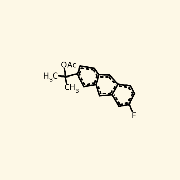 CC(=O)OC(C)(C)c1ccc2cc3ccc(F)cc3cc2c1